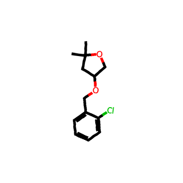 CC1(C)CC(OCc2ccccc2Cl)CO1